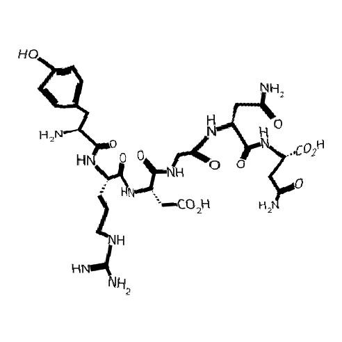 N=C(N)NCCC[C@H](NC(=O)[C@@H](N)Cc1ccc(O)cc1)C(=O)N[C@@H](CC(=O)O)C(=O)NCC(=O)N[C@@H](CC(N)=O)C(=O)N[C@@H](CC(N)=O)C(=O)O